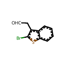 O=CCc1c(Br)sc2ccccc12